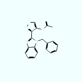 CC(=O)Nc1conc1-c1nc2ccccc2n1Cc1ccccc1